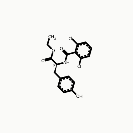 CCOC(=O)[C@H](Cc1ccc(O)cc1)NC(=O)c1c(Cl)cccc1Cl